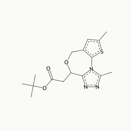 Cc1cc2c(s1)-n1c(C)nnc1C(CC(=O)OC(C)(C)C)OC2